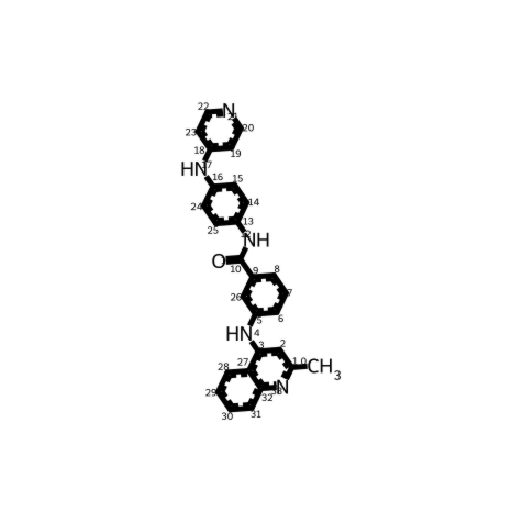 Cc1cc(Nc2cccc(C(=O)Nc3ccc(Nc4ccncc4)cc3)c2)c2ccccc2n1